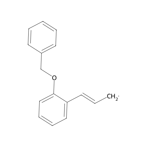 [CH2]/C=C/c1ccccc1OCc1ccccc1